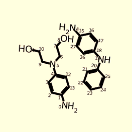 Nc1ccc(N(CCO)CCO)cc1.Nc1ccc(Nc2ccccc2)cc1